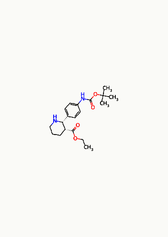 CCOC(=O)[C@@H]1CCCN[C@@H]1c1ccc(NC(=O)OC(C)(C)C)cc1